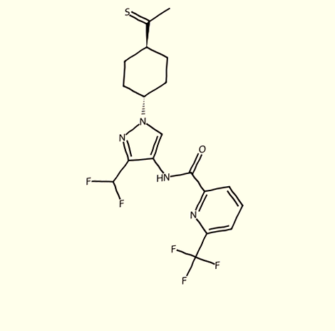 CC(=S)[C@H]1CC[C@H](n2cc(NC(=O)c3cccc(C(F)(F)F)n3)c(C(F)F)n2)CC1